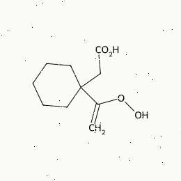 C=C(OO)C1(CC(=O)O)CCCCC1